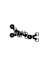 O=C(CCC(=O)Oc1ccc(N(CCCl)CCCl)cc1)NC(CC(=O)OCc1ccccc1)C(=O)OCc1ccccc1